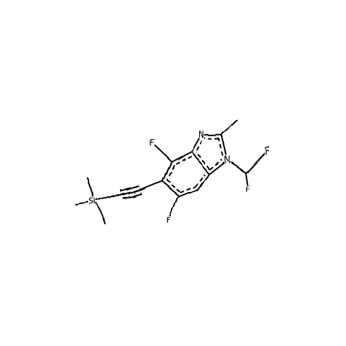 Cc1nc2c(F)c(C#C[Si](C)(C)C)c(F)cc2n1C(F)F